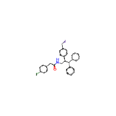 O=C(Cc1ccc(F)cc1)NCC(c1ccc(CI)cc1)C(c1ccccc1)c1ccccc1